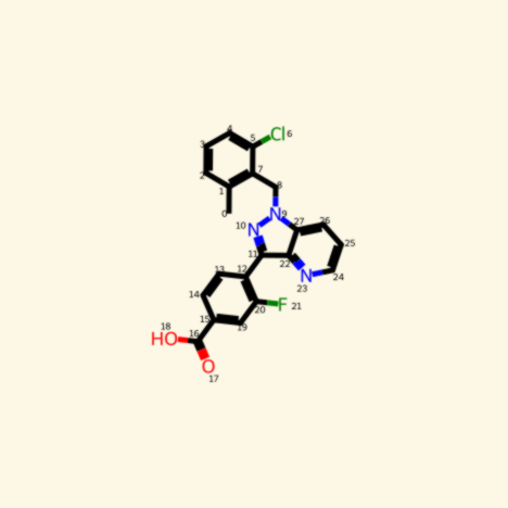 Cc1cccc(Cl)c1Cn1nc(-c2ccc(C(=O)O)cc2F)c2ncccc21